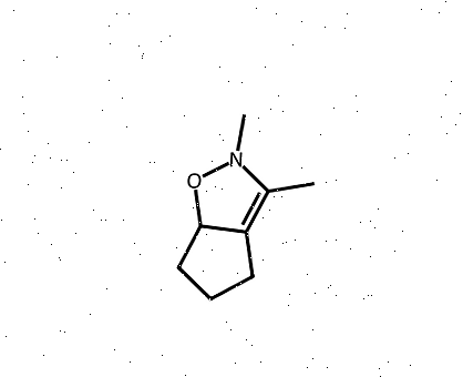 CC1=C2CCCC2ON1C